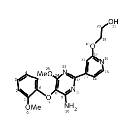 COc1ccccc1Oc1c(N)nc(-c2ccnc(OCCO)c2)nc1OC